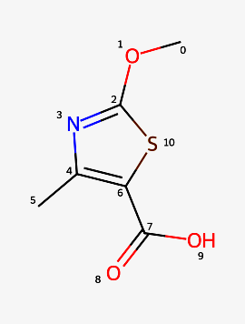 COc1nc(C)c(C(=O)O)s1